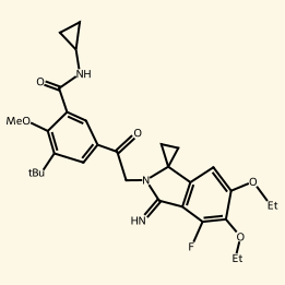 CCOc1cc2c(c(F)c1OCC)C(=N)N(CC(=O)c1cc(C(=O)NC3CC3)c(OC)c(C(C)(C)C)c1)C21CC1